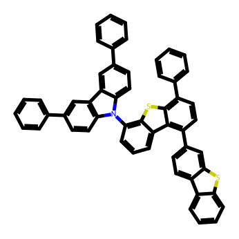 c1ccc(-c2ccc3c(c2)c2cc(-c4ccccc4)ccc2n3-c2cccc3c2sc2c(-c4ccccc4)ccc(-c4ccc5c(c4)sc4ccccc45)c23)cc1